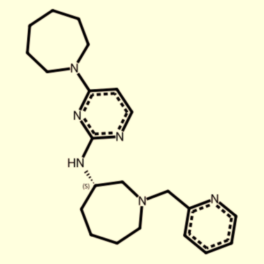 c1ccc(CN2CCCC[C@H](Nc3nccc(N4CCCCCC4)n3)C2)nc1